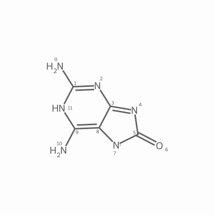 NC1=NC2=NC(=O)[N]C2=C(N)N1